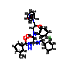 N#Cc1cccc(C(=O)N[C@H]2N=C(c3ccccc3F)c3ccccc3N(CC(=O)N3CC4CCC(CC4)C3)C2=O)c1